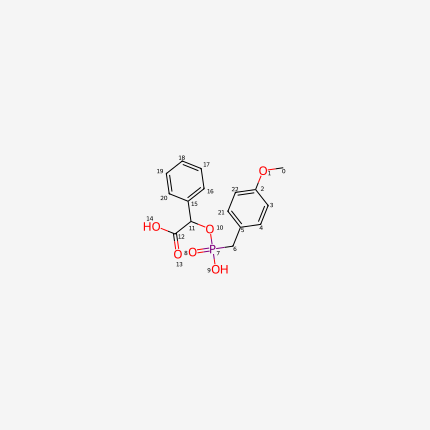 COc1ccc(CP(=O)(O)OC(C(=O)O)c2ccccc2)cc1